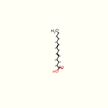 CCCCCC=CCC=CCCCC(=O)O